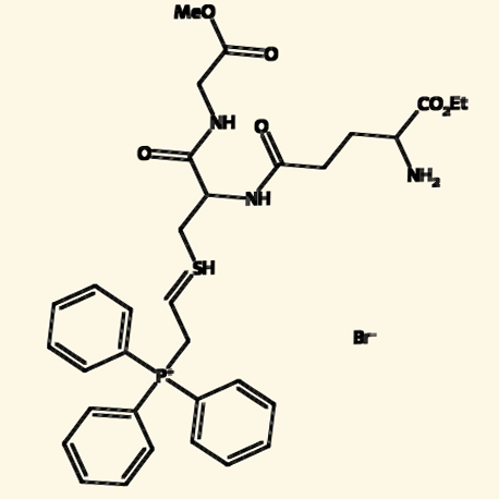 CCOC(=O)C(N)CCC(=O)NC(C[SH]=CC[P+](c1ccccc1)(c1ccccc1)c1ccccc1)C(=O)NCC(=O)OC.[Br-]